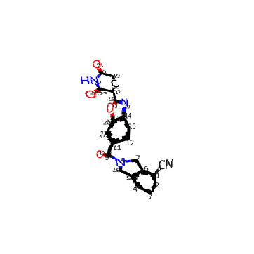 N#Cc1cccc2c1CN(C(=O)c1ccc3nc(C4CCC(=O)NC4=O)oc3c1)C2